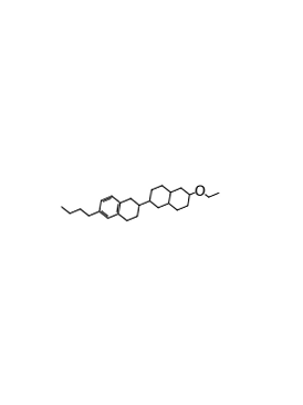 CCCCc1ccc2c(c1)CCC(C1CCC3CC(OCC)CCC3C1)C2